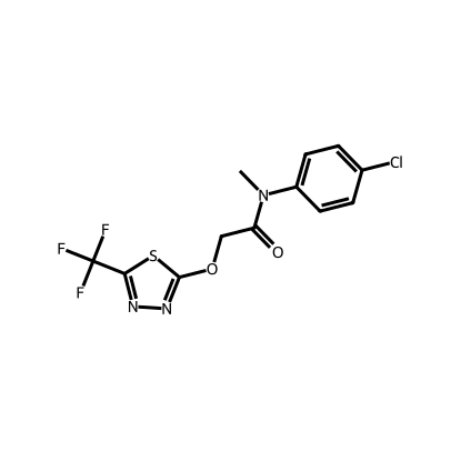 CN(C(=O)COc1nnc(C(F)(F)F)s1)c1ccc(Cl)cc1